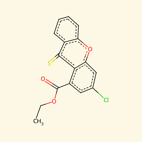 CCOC(=O)c1cc(Cl)cc2oc3ccccc3c(=S)c12